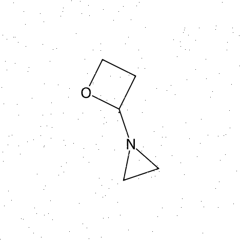 C1C[C](N2CC2)O1